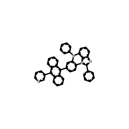 c1ccc(-c2nc3cccc4c3n2-c2ccc(-c3c5ccccc5c(-c5cccnc5)c5ccccc35)cc2N4c2ccccc2)cc1